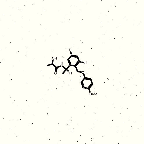 [2H]C(C)(NC(=O)C(C)O)c1cc(F)cc(Cl)c1COc1ccc(OC)cc1